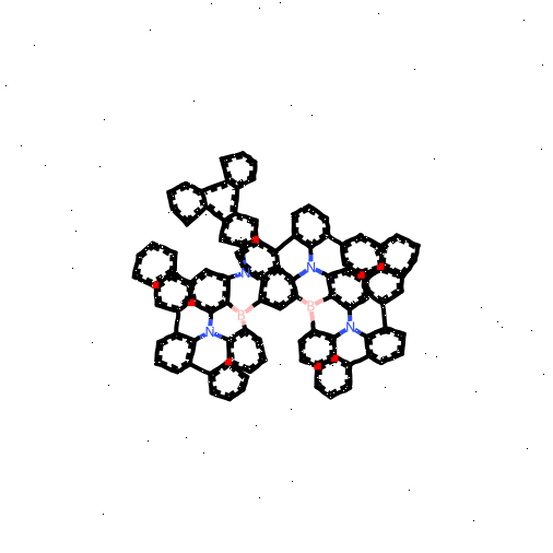 c1ccc(-c2cc3c4c(c2)N(c2c(-c5ccccc5)cccc2-c2ccccc2)c2ccccc2B4c2cc4c(cc2N3c2ccc3c5ccccc5c5ccccc5c3c2)N(c2c(-c3ccccc3)cccc2-c2ccccc2)c2cc(-c3ccccc3)cc3c2B4c2ccccc2N3c2c(-c3ccccc3)cccc2-c2ccccc2)cc1